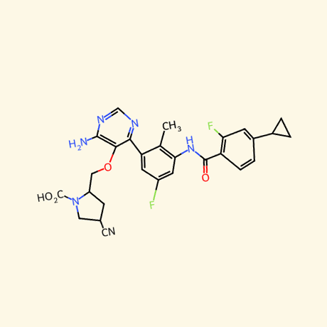 Cc1c(NC(=O)c2ccc(C3CC3)cc2F)cc(F)cc1-c1ncnc(N)c1OCC1CC(C#N)CN1C(=O)O